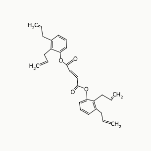 C=CCc1cccc(OC(=O)/C=C/C(=O)Oc2cccc(CC=C)c2CC=C)c1CC=C